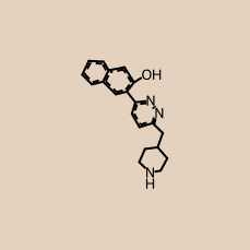 Oc1cc2ccccc2cc1-c1ccc(CC2CCNCC2)nn1